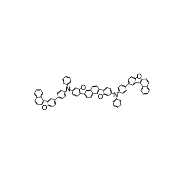 c1ccc(N(c2ccc(-c3ccc4oc5ccc6ccccc6c5c4c3)cc2)c2ccc3c(c2)oc2c3ccc3c2ccc2c4ccc(N(c5ccccc5)c5ccc(-c6ccc7oc8ccc9ccccc9c8c7c6)cc5)cc4oc23)cc1